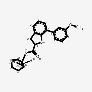 COc1cccc(-c2cccc3c2SC(C(=O)N[C@H]2CN4CCC2CC4)C3)c1